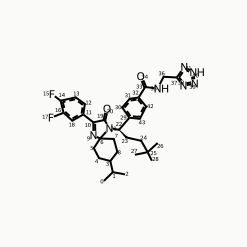 CC(C)C1CCC2(CC1)N=C(c1ccc(F)c(F)c1)C(=O)N2[C@H](CCC(C)(C)C)c1ccc(C(=O)NCc2nn[nH]n2)cc1